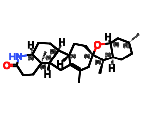 CC1=C2C[C@H]3[C@@H](CC[C@@H]4NC(=O)CC[C@@]43C)[C@@H]2CC[C@@]2(C1)O[C@@H]1C[C@H](C)CC[C@H]1[C@H]2C